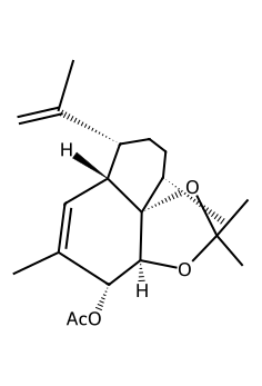 C=C(C)[C@@H]1CC[C@H](C)[C@@]23OC(C)(C)O[C@H]2[C@H](OC(C)=O)C(C)=C[C@H]13